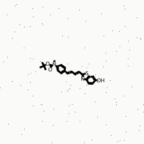 CN(C(=O)OC(C)(C)C)c1ccc(/C=C/C=C/c2nc3ccc(O)cc3s2)cc1